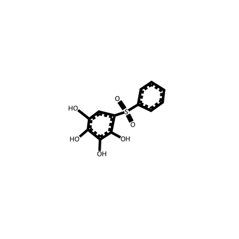 O=S(=O)(c1ccccc1)c1cc(O)c(O)c(O)c1O